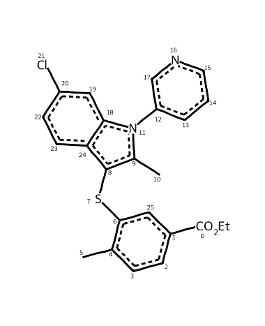 CCOC(=O)c1ccc(C)c(Sc2c(C)n(-c3cccnc3)c3cc(Cl)ccc23)c1